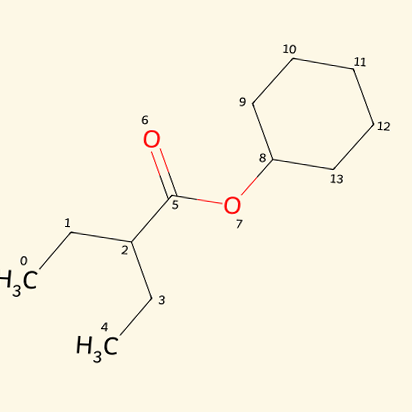 CCC(CC)C(=O)OC1CCCCC1